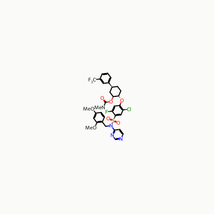 CNC(=O)O[C@H]1C[C@@H](c2cccc(C(F)(F)F)c2)CC[C@@H]1Oc1cc(F)c(S(=O)(=O)N(Cc2ccc(OC)cc2OC)c2ccncn2)cc1Cl